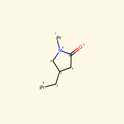 CC(C)CC1CC(=O)N(C(C)C)C1